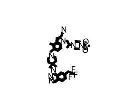 Cc1c(CN2CCC3(CC2)CN(c2nncc4ccc(CC(F)(F)F)cc24)C3)ccc2c1cc(C#N)n2CC(C)N1CCN(S(C)(=O)=O)CC1